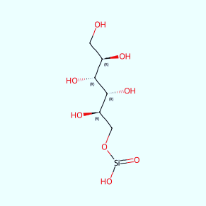 O=[Si](O)OC[C@@H](O)[C@@H](O)[C@H](O)[C@H](O)CO